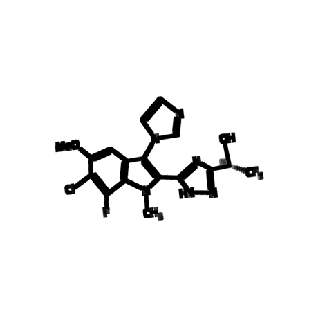 COc1cc2c(-n3ccnc3)c(-c3nc([C@H](O)C(F)(F)F)n[nH]3)n(C)c2c(F)c1Cl